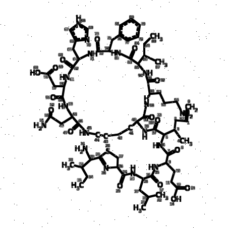 C=CCC(C)C(NC(=O)C(CCC(=O)O)NC(=O)C(CC(C)C)NC(=O)C1CSC(C(N)C(C)CC)=N1)C(=O)NC1CCCCNC(=O)C(CC(N)=O)NC(=O)C(CC(=O)O)NC(=O)C(Cc2c[nH]cn2)NC(=O)C(Cc2ccccc2)NC(=O)C(C(C)CC)NC(=O)C(CCCN)NC1=O